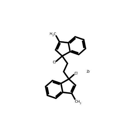 CC1=CC(Cl)(CCC2(Cl)C=C(C)c3ccccc32)c2ccccc21.[Zr]